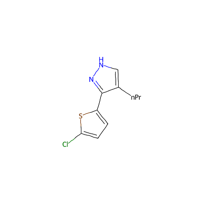 [CH2]CCc1c[nH]nc1-c1ccc(Cl)s1